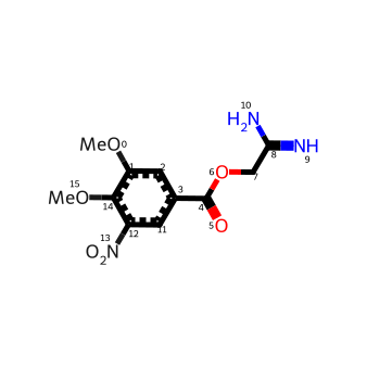 COc1cc(C(=O)OCC(=N)N)cc([N+](=O)[O-])c1OC